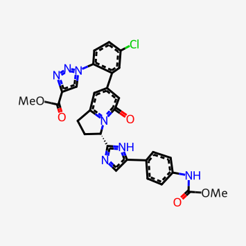 COC(=O)Nc1ccc(-c2cnc([C@@H]3CCc4cc(-c5cc(Cl)ccc5-n5cc(C(=O)OC)nn5)cc(=O)n43)[nH]2)cc1